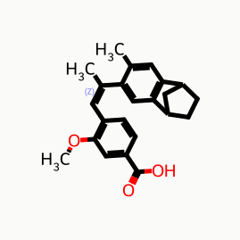 COc1cc(C(=O)O)ccc1/C=C(/C)c1cc2c(cc1C)C1CCC2C1